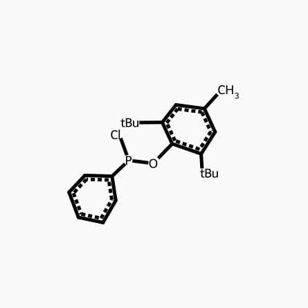 Cc1cc(C(C)(C)C)c(OP(Cl)c2ccccc2)c(C(C)(C)C)c1